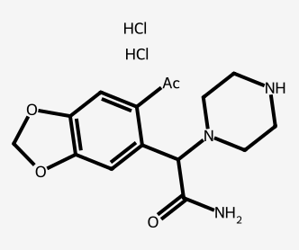 CC(=O)c1cc2c(cc1C(C(N)=O)N1CCNCC1)OCO2.Cl.Cl